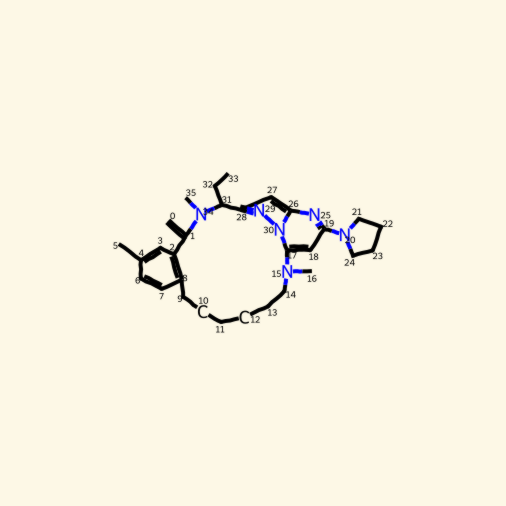 C=C1c2cc(C)ccc2CCCCCCN(C)c2cc(N3CCCC3)nc3cc(nn23)C(CC)N1C